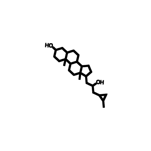 CC1CC1CC(O)CC1CCC2C3CCC4CC(O)CCC4(C)C3CCC12C